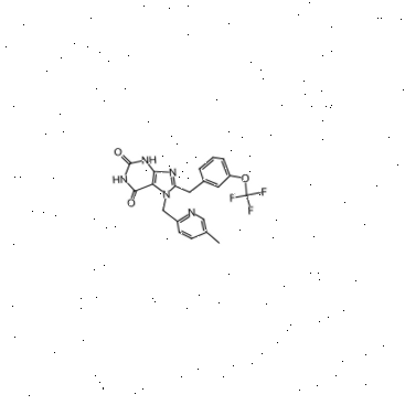 Cc1ccc(Cn2c(Cc3cccc(OC(F)(F)F)c3)nc3[nH]c(=O)[nH]c(=O)c32)nc1